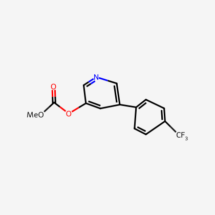 COC(=O)Oc1cncc(-c2ccc(C(F)(F)F)cc2)c1